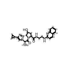 CC(C)(C)[C@@H](C(=O)N1CC(O)CC1C(=O)NCCNc1ccc2ccccc2n1)n1cc(C2CC2)nn1